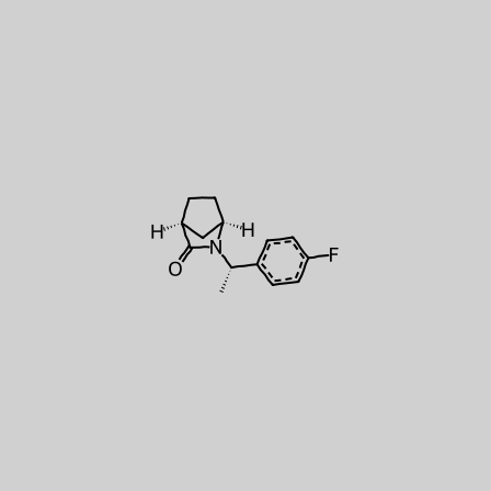 C[C@@H](c1ccc(F)cc1)N1C(=O)[C@H]2CC[C@@H]1C2